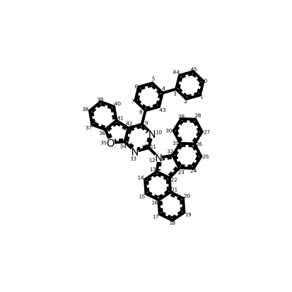 c1ccc(-c2cccc(-c3nc(-n4c5ccc6ccccc6c5c5ccc6ccccc6c54)nc4oc5ccccc5c34)c2)cc1